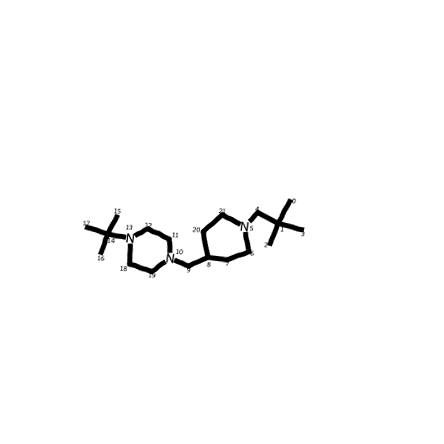 CC(C)(C)CN1CCC(CN2CCN(C(C)(C)C)CC2)CC1